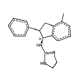 Cc1cccc2c1CC(c1ccccc1)[C@@H]2NC1=NCCN1